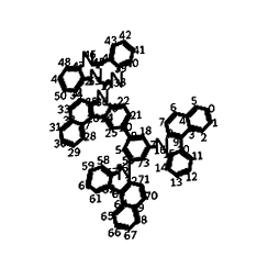 c1ccc2c(c1)ccc1c2c2ccccc2n1-c1cc(-c2ccc3c(c2)c2c4ccccc4ccc2n3-c2nc3ccccc3c3nc4ccccc4n23)cc(-n2c3ccccc3c3c4ccccc4ccc32)c1